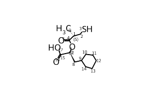 C[C@H](CS)C(=O)O[C@@H](CC1CCCCC1)C(=O)O